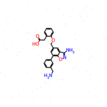 NCc1cccc(-c2cc(COc3ccccc3CC(=O)O)cc3c(N)noc23)c1